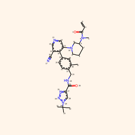 C=CC(=O)N(C)C1CCCN(c2cncc(C#N)c2-c2ccc(CNC(=O)c3cn(C(C)(C)C)nn3)c(C)c2)C1